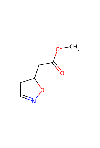 COC(=O)CC1CC=NO1